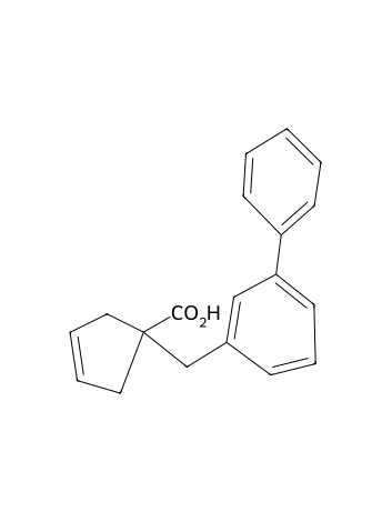 O=C(O)C1(Cc2cccc(-c3ccccc3)c2)CC=CC1